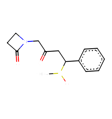 CCCCCC[S+]([O-])C(CC(=O)CN1CCC1=O)c1ccccc1